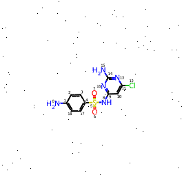 Nc1ccc(S(=O)(=O)Nc2cc(Cl)nc(N)n2)cc1